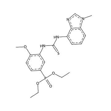 CCOP(=O)(OCC)c1ccc(OC)c(NC(=S)Nc2cccc3c2ncn3C)c1